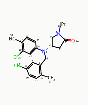 CC(C)N1C[C@@H](N(Cc2cc(Cl)ccc2C(F)(F)F)c2ccc(C#N)c(Cl)c2)CC1=O